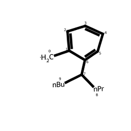 [CH2]c1ccccc1C(CCC)CCCC